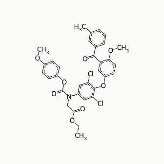 CCOC(=O)CN(C(=O)Oc1ccc(OC)cc1)c1cc(Cl)c(Oc2ccc(OC)c(C(=O)c3cccc(C)c3)c2)c(Cl)c1